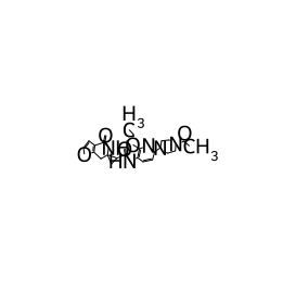 CCOc1nc(N2CCN(C(C)=O)CC2)ccc1NC(=O)C1CC12Cc1occc1C(=O)N2